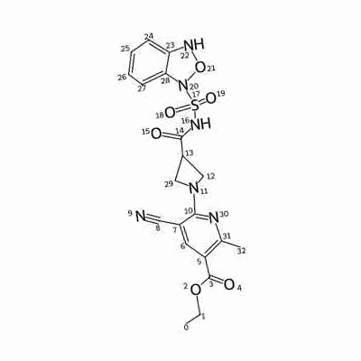 CCOC(=O)c1cc(C#N)c(N2CC(C(=O)NS(=O)(=O)N3ONc4ccccc43)C2)nc1C